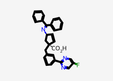 O=C(O)[C@@]1(Cc2cccc(-c3ncc(F)cn3)c2)C=C[C@H](N=C(c2ccccc2)c2ccccc2)C1